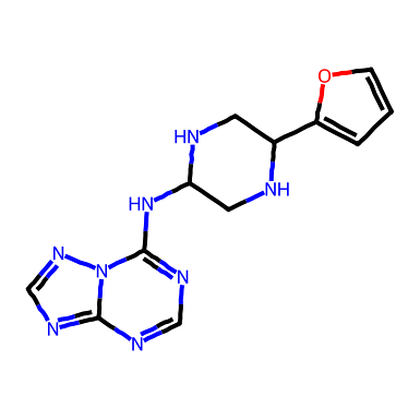 c1coc(C2CNC(Nc3ncnc4ncnn34)CN2)c1